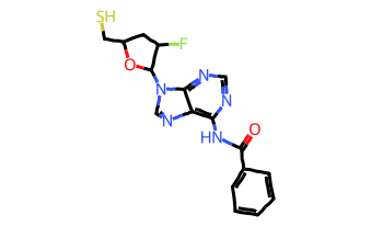 O=C(Nc1ncnc2c1ncn2C1OC(CS)CC1F)c1ccccc1